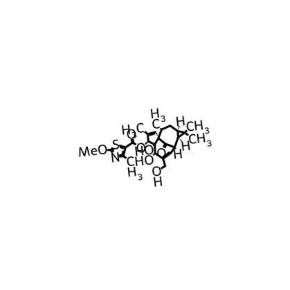 COc1nc(C)c(C(=O)O[C@H]2C(C)=C[C@]34C(=O)[C@@H](C=C(CO)[C@@H](O)[C@]23O)[C@H]2[C@@H](C[C@H]4C)C2(C)C)s1